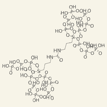 O=C(NCCC[Si](OP(=O)(O)OP(=O)(O)OP(=O)(O)O)(OP(=O)(O)OP(=O)(O)OP(=O)(O)O)OP(=O)(O)OP(=O)(O)OP(=O)(O)O)NCCC[Si](OP(=O)(O)OP(=O)(O)OP(=O)(O)O)(OP(=O)(O)OP(=O)(O)OP(=O)(O)O)OP(=O)(O)OP(=O)(O)OP(=O)(O)O